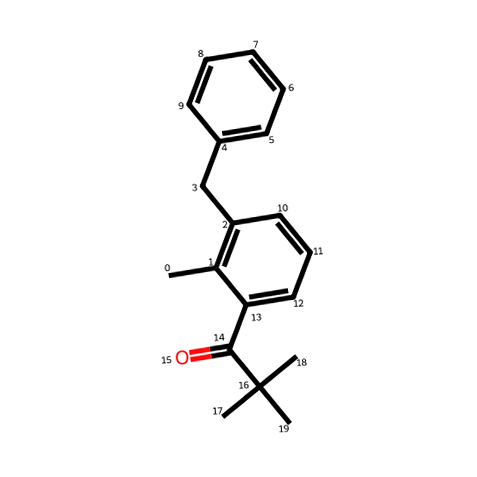 Cc1c(Cc2ccccc2)cccc1C(=O)C(C)(C)C